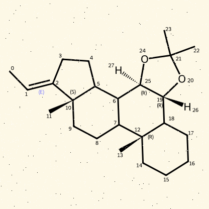 C/C=C1\CCC2C3C(CC[C@]12C)[C@@]1(C)CCCCC1[C@H]1OC(C)(C)O[C@H]31